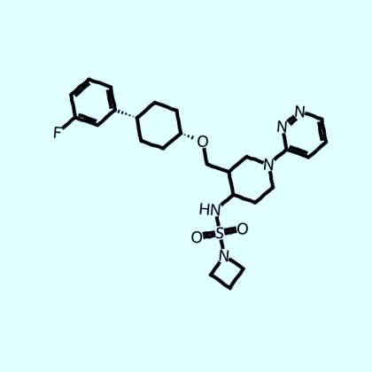 O=S(=O)(NC1CCN(c2cccnn2)CC1CO[C@H]1CC[C@@H](c2cccc(F)c2)CC1)N1CCC1